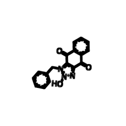 O=C1c2ccccc2C(=O)c2c1n[n+](O)n2Cc1ccccc1